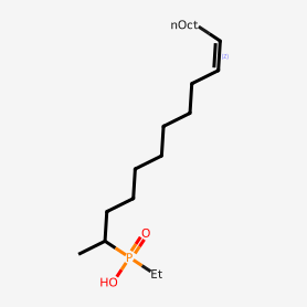 CCCCCCCC/C=C\CCCCCCCC(C)P(=O)(O)CC